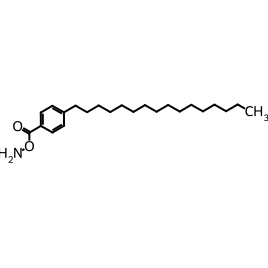 CCCCCCCCCCCCCCCCc1ccc(C(=O)ON)cc1